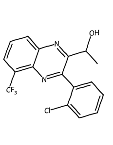 CC(O)c1nc2cccc(C(F)(F)F)c2nc1-c1ccccc1Cl